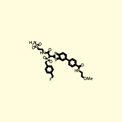 COCCNC(=O)c1ccc(-c2ccc3nc(C(C(=O)NCCS(N)(=O)=O)S(=O)(=O)Cc4ccc(CF)cc4)sc3c2)cc1